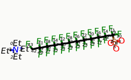 CC[N+](CC)(CC)CC.O=S(=O)([O-])C(F)(F)C(F)(F)C(F)(F)C(F)(F)C(F)(F)C(F)(F)C(F)(F)C(F)(F)C(F)(F)C(F)(F)C(F)(F)CF